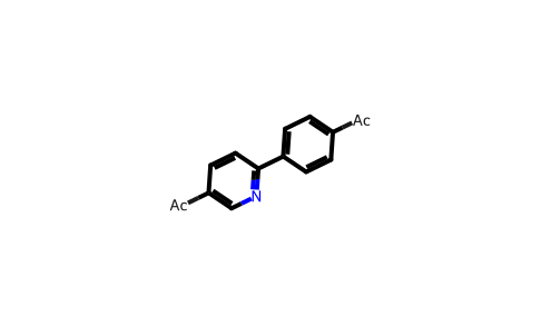 CC(=O)c1ccc(-c2ccc(C(C)=O)cn2)cc1